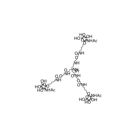 CC(=O)N[C@H]1[C@H](OCCCCCNC(=O)COCCNCCCC(CCC(=O)NCCOCC(=O)NCCCCCO[C@@H]2O[C@H](CO)[C@H](O)[C@H](O)[C@H]2NC(C)=O)(CCC(=O)NCCOCC(=O)NCCCCCO[C@@H]2O[C@H](CO)[C@H](O)[C@H](O)[C@H]2NC(C)=O)NC(C)C)O[C@H](CO)[C@H](O)[C@@H]1O